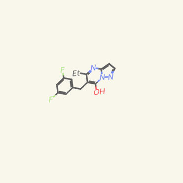 CCc1nc2ccnn2c(O)c1Cc1cc(F)cc(F)c1